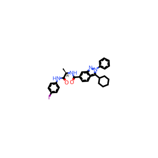 C[C@@H](NC(=O)c1ccc2c(C3CCCCC3)n(-c3ccccc3)nc2c1)C(=O)Nc1ccc(I)cc1